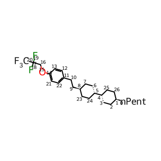 CCCCC[C@H]1CC[C@H]([C@H]2CC[C@H](CCc3ccc(OCC(F)(F)C(F)(F)F)cc3)CC2)CC1